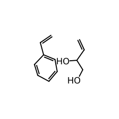 C=CC(O)CO.C=Cc1ccccc1